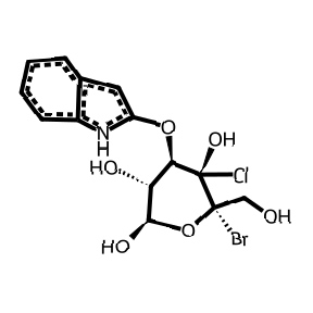 OC[C@@]1(Br)O[C@@H](O)[C@H](O)[C@@H](Oc2cc3ccccc3[nH]2)[C@]1(O)Cl